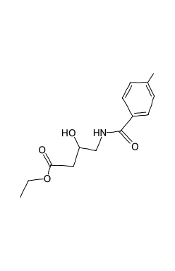 CCOC(=O)CC(O)CNC(=O)c1ccc(C)cc1